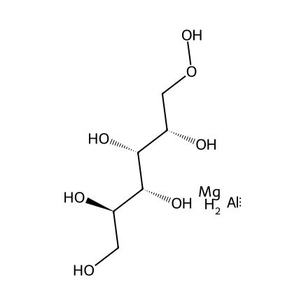 OC[C@@H](O)[C@@H](O)[C@H](O)[C@@H](O)COO.[Al].[MgH2]